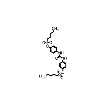 CCCCCS(=O)(=O)Oc1ccc(NC(=O)Nc2ccc(OS(=O)(=O)CCCCC)cc2)cc1